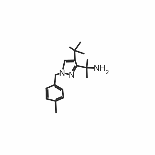 Cc1ccc(Cn2cc(C(C)(C)C)c(C(C)(C)N)n2)cc1